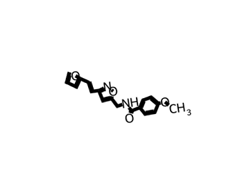 COc1ccc(C(=O)NCc2cc(C=Cc3ccco3)no2)cc1